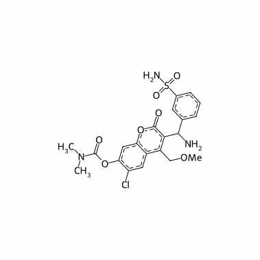 COCc1c(C(N)c2cccc(S(N)(=O)=O)c2)c(=O)oc2cc(OC(=O)N(C)C)c(Cl)cc12